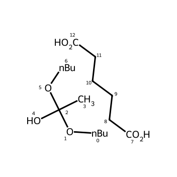 CCCCOC(C)(O)OCCCC.O=C(O)CCCCC(=O)O